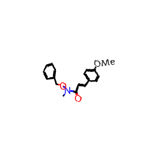 COc1ccc(C=CC(=O)N(C)OCc2ccccc2)cc1